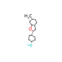 Cc1ccc2cc(-c3ccc([18F])cc3)oc2c1